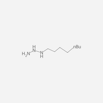 CC[CH]CCCCCNNN